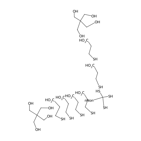 CCCCCCCCCC(S)(S)S.O=C(O)CCS.O=C(O)CCS.O=C(O)CCS.O=C(O)CCS.O=C(O)CCS.O=C(O)CCS.OCC(CO)(CO)CO.OCC(CO)(CO)CO